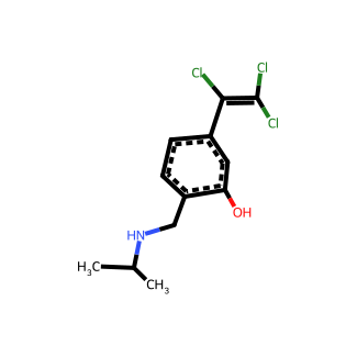 CC(C)NCc1ccc(C(Cl)=C(Cl)Cl)cc1O